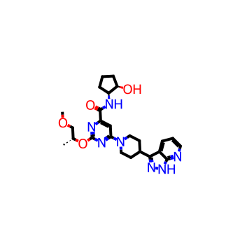 COC[C@@H](C)Oc1nc(C(=O)N[C@H]2CCC[C@H]2O)cc(N2CCC(c3n[nH]c4ncccc34)CC2)n1